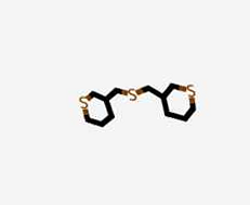 C1CSCC(CSCC2CCCSC2)C1